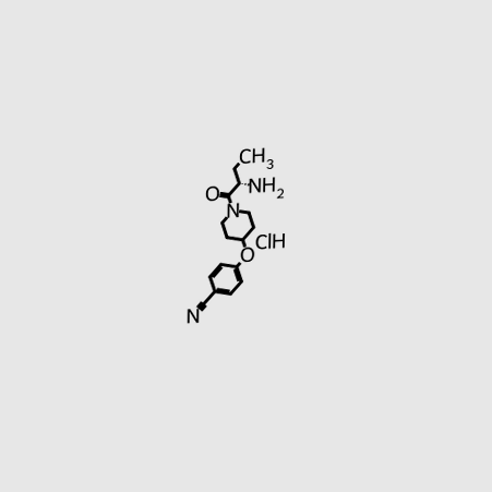 CC[C@H](N)C(=O)N1CCC(Oc2ccc(C#N)cc2)CC1.Cl